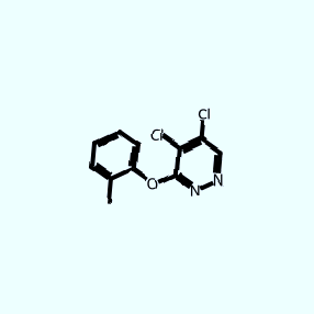 Cc1ccccc1Oc1nncc(Cl)c1Cl